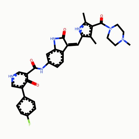 Cc1[nH]c(C=C2C(=O)Nc3cc(NC(=O)c4c[nH]cc(-c5ccc(F)cc5)c4=O)ccc32)c(C)c1C(=O)N1CCN(C)CC1